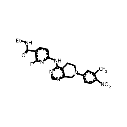 CCNC(=O)c1ccc(Nc2ncnc3c2CCN(c2ccc([N+](=O)[O-])c(C(F)(F)F)c2)C3)nc1F